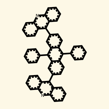 c1ccc(-c2c3ccc(-c4c5ccccc5nc5ccccc45)cc3c(-c3ccccc3)c3cc(-c4c5ccccc5nc5ccccc45)ccc23)cc1